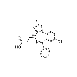 Cc1cn2c(n1)[C@H](CCC(=O)O)N=C(c1ccccn1)c1cc(Cl)ccc1-2